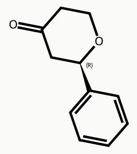 O=C1CCO[C@@H](c2ccccc2)C1